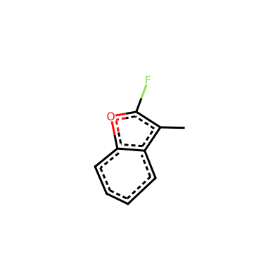 Cc1c(F)oc2ccccc12